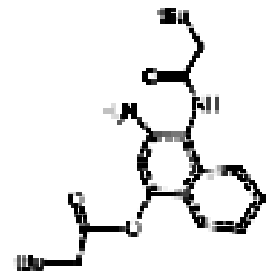 CC(C)(C)CC(=O)Nc1c(N)cc(OC(=O)CC(C)(C)C)c2ccccc12